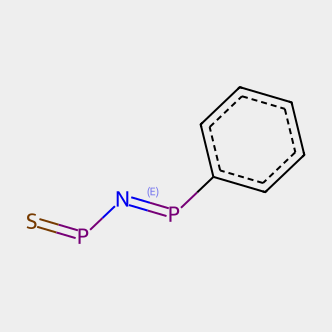 S=P/N=P/c1ccccc1